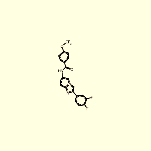 O=C(Nc1ccc2nc(-c3ccc(F)c(F)c3)cn2c1)c1ccc(OC(F)(F)F)cc1